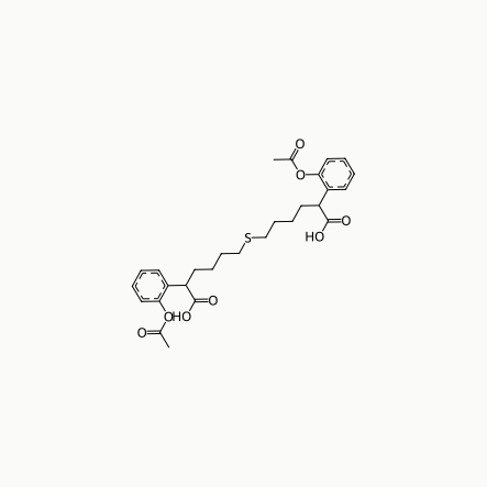 CC(=O)Oc1ccccc1C(CCCCSCCCCC(C(=O)O)c1ccccc1OC(C)=O)C(=O)O